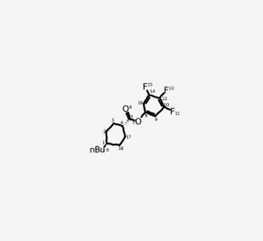 CCCC[C@H]1CC[C@H](C(=O)Oc2cc(F)c(F)c(F)c2)CC1